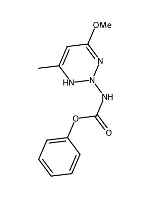 COC1=NN(NC(=O)Oc2ccccc2)NC(C)=C1